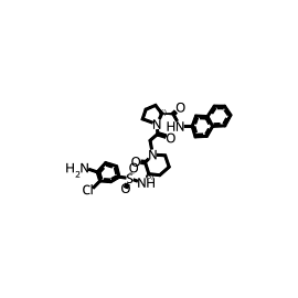 Nc1ccc(S(=O)(=O)N[C@H]2CCCN(CC(=O)N3CCC[C@H]3C(=O)Nc3ccc4ccccc4c3)C2=O)cc1Cl